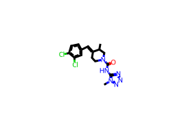 CC1CN(C(=O)Nc2nnnn2C)CC/C1=C\c1ccc(Cl)c(Cl)c1